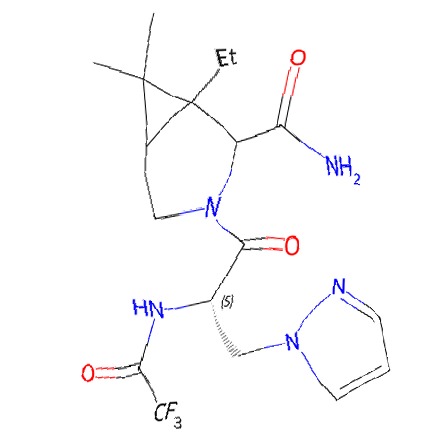 CCC12C(C(N)=O)N(C(=O)[C@H](Cn3cccn3)NC(=O)C(F)(F)F)CC1C2(C)C